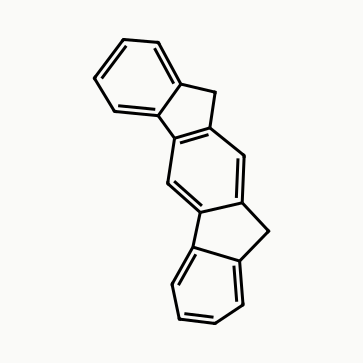 c1ccc2c(c1)Cc1cc3c(cc1-2)-c1ccccc1C3